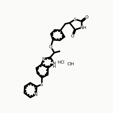 CC(Oc1ccc(CC2SC(=O)NC2=O)cc1)c1nc2ccc(Sc3ccccn3)cc2[nH]1.Cl.Cl